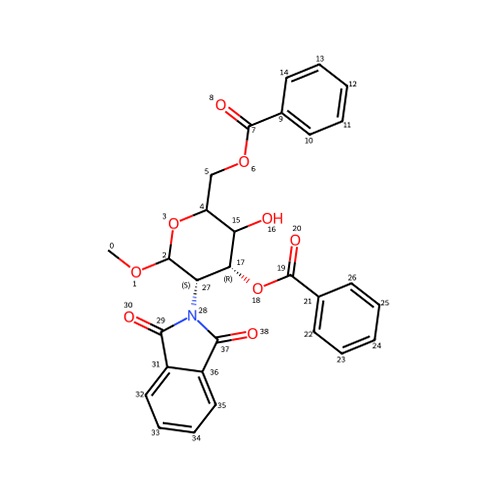 COC1OC(COC(=O)c2ccccc2)C(O)[C@H](OC(=O)c2ccccc2)[C@@H]1N1C(=O)c2ccccc2C1=O